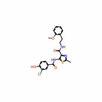 COc1ccccc1CCNC(=O)c1nc(C)sc1NC(=O)c1ccc(O)c(Cl)c1